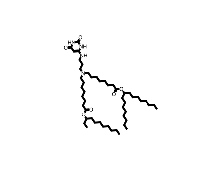 CCCCCCCCC(CC)OC(=O)CCCCCCCN(CCCCCCCC(=O)OC(CCCCCCCC)CCCCCCCC)CCCNc1cc(=O)[nH]c(=O)[nH]1